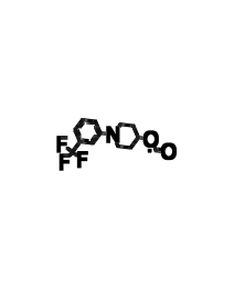 O=[C]OC1CCN(c2cccc(C(F)(F)F)c2)CC1